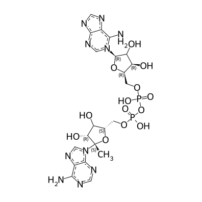 C[C@]1(n2cnc3c(N)ncnc32)O[C@@H](COP(=O)(O)OP(=O)(O)OC[C@H]2O[C@@H](n3cnc4ncnc-4c3N)C(O)[C@H]2O)C(O)[C@H]1O